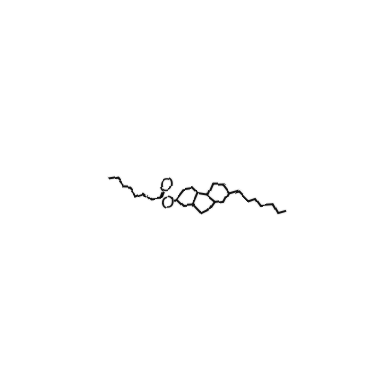 CCCCCCCC(=O)OC1CCC2C(CCC3CC(CCCCCCC)CCC32)C1